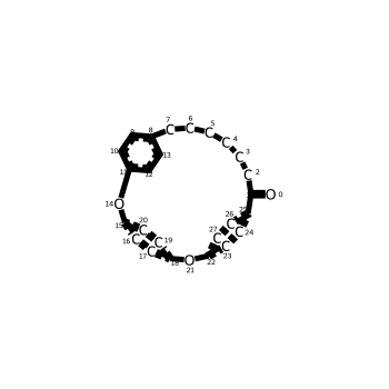 O=C1CCCCCCc2ccc(cc2)Oc2ccc(cc2)Oc2ccc1cc2